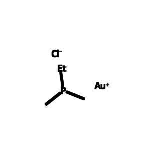 CCP(C)C.[Au+].[Cl-]